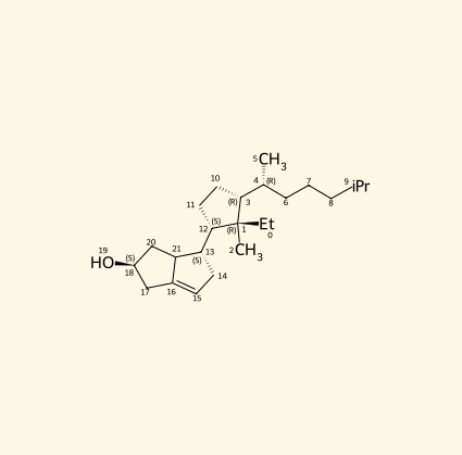 CC[C@]1(C)[C@@H]([C@H](C)CCCC(C)C)CC[C@H]1[C@@H]1CC=C2C[C@@H](O)CC21